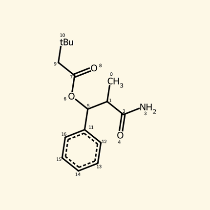 CC(C(N)=O)C(OC(=O)CC(C)(C)C)c1ccccc1